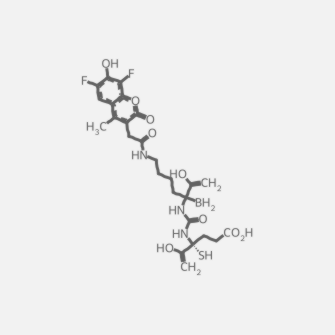 BC(CCCCNC(=O)Cc1c(C)c2cc(F)c(O)c(F)c2oc1=O)(NC(=O)N[C@@](S)(CCC(=O)O)C(=C)O)C(=C)O